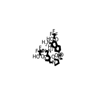 CN([C@H]1CCN(Cc2csc(C(=N)N)c2)C1=O)S(=O)(=O)c1ccc2ccc(N)cc2c1.O=C(O)C(F)(F)F.O=C(O)C(F)(F)F